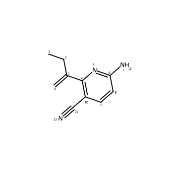 C=C(CC)c1nc(N)ccc1C#N